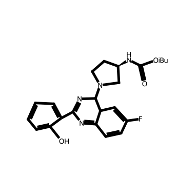 CC(C)COC(=O)N[C@@H]1CCN(C2N=C(c3ccccc3O)N=C3C=CC(F)=CC32)C1